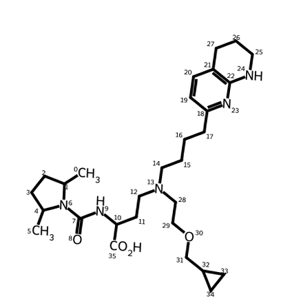 CC1CCC(C)N1C(=O)NC(CCN(CCCCc1ccc2c(n1)NCCC2)CCOCC1CC1)C(=O)O